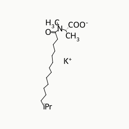 CC(C)CCCCCCCCCCCCC(=O)N(C)[C@@H](C)C(=O)[O-].[K+]